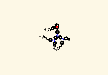 C=Cc1ccc(C23CC4CC(C2)CC(c2ccc(-n5c6ccc(N(c7ccc(CCCC)cc7)c7ccc8c(c7)CC8)cc6c6cc(N(c7ccc(CCCC)cc7)c7ccc8c(c7)CC8)ccc65)cc2)(C4)C3)cc1